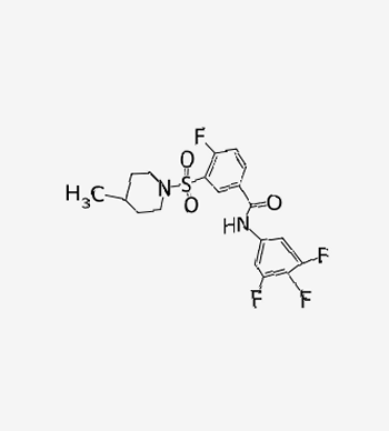 CC1CCN(S(=O)(=O)c2cc(C(=O)Nc3cc(F)c(F)c(F)c3)ccc2F)CC1